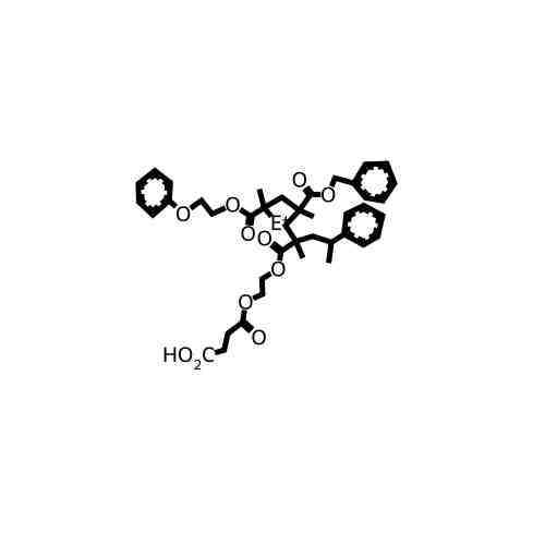 CCC(C)(CC(C)(CC(C)(CC(C)c1ccccc1)C(=O)OCCOC(=O)CCC(=O)O)C(=O)OCc1ccccc1)C(=O)OCCOc1ccccc1